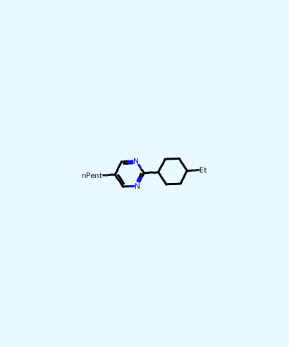 CCCCCc1cnc(C2CCC(CC)CC2)nc1